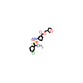 Cc1c(S(=O)(=O)Nc2cccc(C(=O)OCC3CCOC3)c2)sc2ccc(Cl)cc12